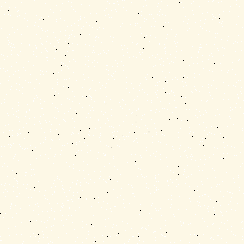 CC(F)C1(C(C)F)C=C(C(=O)O)c2cc(C(F)(F)F)ccc2O1